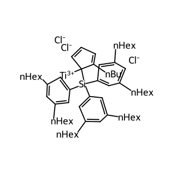 CCCCCCc1cc(CCCCCC)cc([Si](c2cc(CCCCCC)cc(CCCCCC)c2)(c2cc(CCCCCC)cc(CCCCCC)c2)[C]2([Ti+3])C=CC=C2CCCC)c1.[Cl-].[Cl-].[Cl-]